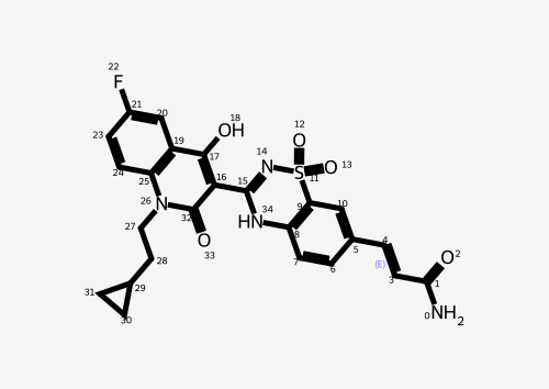 NC(=O)/C=C/c1ccc2c(c1)S(=O)(=O)N=C(c1c(O)c3cc(F)ccc3n(CCC3CC3)c1=O)N2